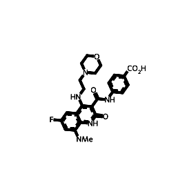 CNc1cc(F)cc2c(NCCN3CCOCC3)c(C(=O)Nc3ccc(C(=O)O)cc3)c(=O)[nH]c12